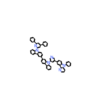 c1ccc(-c2cc(-c3ccccc3)nc(-n3c4ccccc4c4cc(-c5ccc6c7ccccc7n(-c7cncc(-c8ccc9c(c8)c8ncccc8n9-c8ccccc8)c7)c6c5)ccc43)c2)cc1